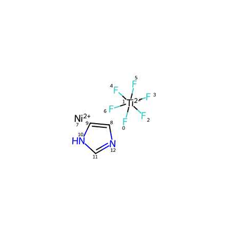 [F][Ti-2]([F])([F])([F])([F])[F].[Ni+2].c1c[nH]cn1